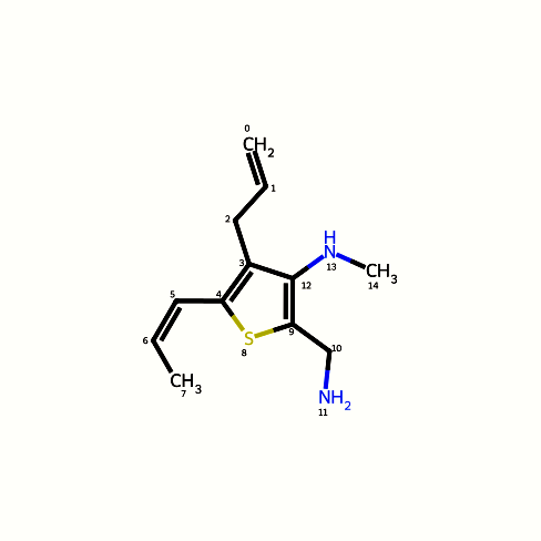 C=CCc1c(/C=C\C)sc(CN)c1NC